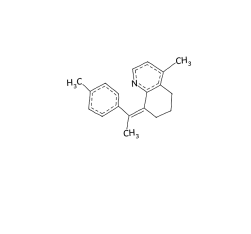 CC(=C1CCCc2c(C)ccnc21)c1ccc(C)cc1